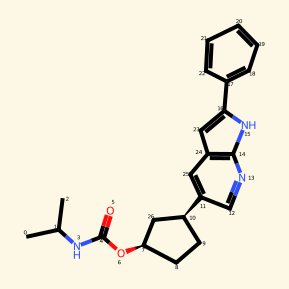 CC(C)NC(=O)O[C@@H]1CC[C@H](c2cnc3[nH]c(-c4ccccc4)cc3c2)C1